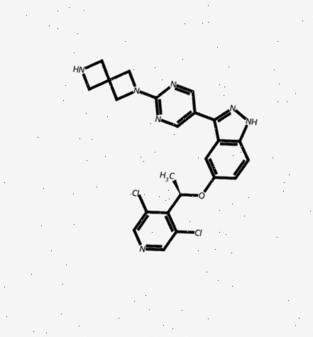 C[C@@H](Oc1ccc2[nH]nc(-c3cnc(N4CC5(CNC5)C4)nc3)c2c1)c1c(Cl)cncc1Cl